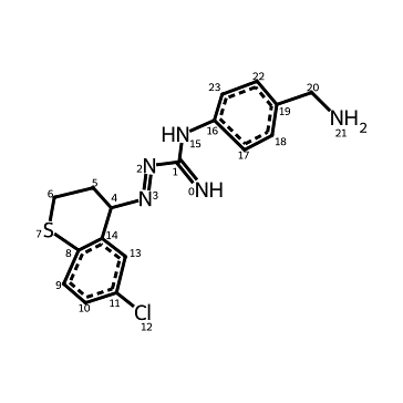 N=C(N=NC1CCSc2ccc(Cl)cc21)Nc1ccc(CN)cc1